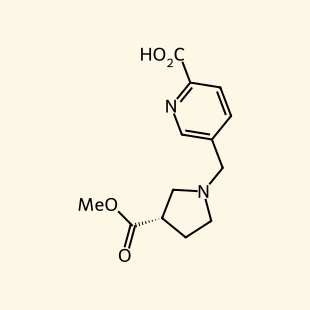 COC(=O)[C@H]1CCN(Cc2ccc(C(=O)O)nc2)C1